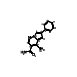 NC(=O)c1cnn2cc(-c3ccccc3)cc2c1N